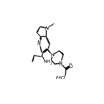 CCC(N)c1nc2ccn(C)c2cc1N1CCN(C(=O)O)CC1